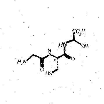 NCC(=O)N[C@@H](CS)C(=O)NC(O)C(=O)O